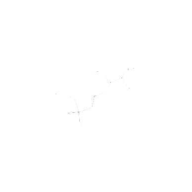 CCCCCC(CCCCC)C(CCCCC)OC(=O)CC(O)(CC(=O)O)C(=O)O